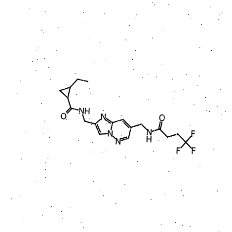 CCC1CC1C(=O)NCc1cn2ncc(CNC(=O)CCC(F)(F)F)cc2n1